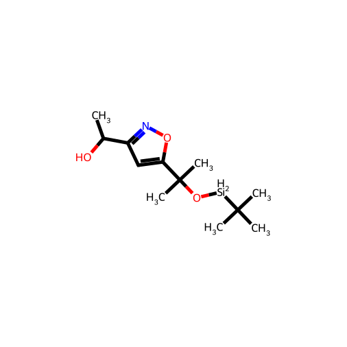 CC(O)c1cc(C(C)(C)O[SiH2]C(C)(C)C)on1